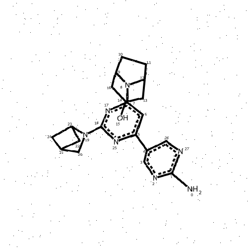 Nc1ncc(-c2cc(N3C4CCC3CC(O)C4)nc(N3CC4CC3C4)n2)cn1